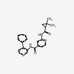 CC1(C)CC1C(=O)Nc1cc(C(=O)Nc2cnccc2-c2ccccc2)ccn1